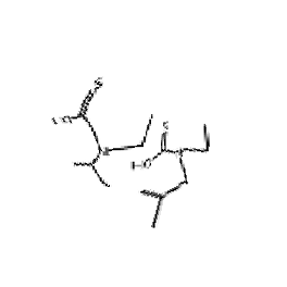 CCN(C(O)=S)C(C)C.CCN(CC(C)C)C(O)=S